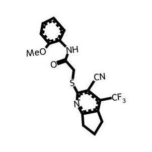 COc1ccccc1NC(=O)CSc1nc2c(c(C(F)(F)F)c1C#N)CCC2